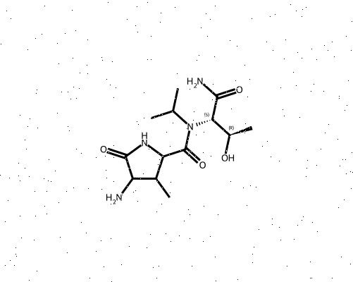 CC1C(N)C(=O)NC1C(=O)N(C(C)C)[C@H](C(N)=O)[C@@H](C)O